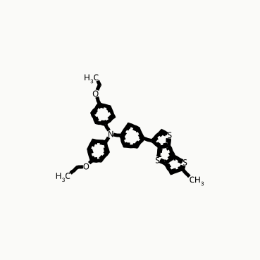 CCOc1ccc(N(c2ccc(OCC)cc2)c2ccc(-c3csc4c3sc3cc(C)sc34)cc2)cc1